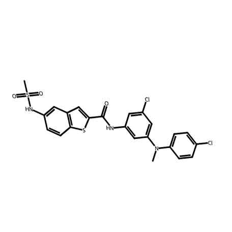 CN(c1ccc(Cl)cc1)c1cc(Cl)cc(NC(=O)c2cc3cc(NS(C)(=O)=O)ccc3s2)c1